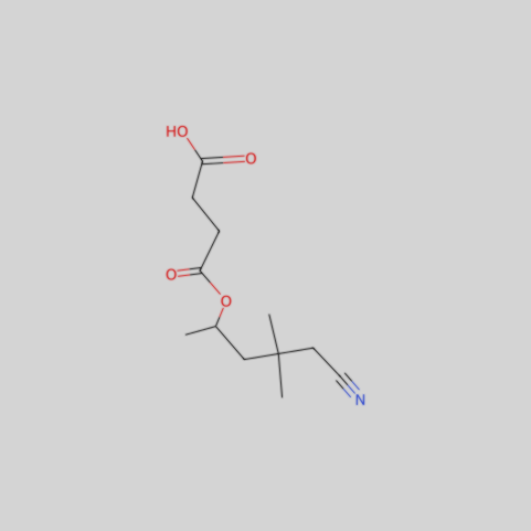 CC(CC(C)(C)CC#N)OC(=O)CCC(=O)O